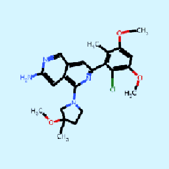 COc1cc(OC)c(Cl)c(-c2cc3cnc(N)cc3c(N3CCC(C)(OC)C3)n2)c1C